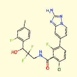 Cc1ccc(C(O)C(F)(F)CNC(=O)c2c(Cl)ccc(-c3ccn4nc(N)nc4c3)c2F)c(F)c1